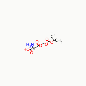 CC(C)OC(=O)OCOC(=O)C[C@H](N)C(=O)O